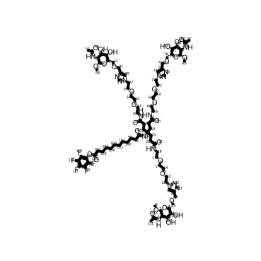 CO[C@@H]1O[C@H](COCc2cn(CCOCCOCCNC(=O)CCC(CCC(=O)NCCOCCOCCn3cc(COC[C@H]4O[C@@H](OC)[C@H](NC(C)=O)[C@@H](O)[C@H]4O)nn3)(CCC(=O)NCCOCCOCCn3cc(COC[C@H]4O[C@@H](OC)[C@H](NC(C)=O)[C@@H](O)[C@H]4O)nn3)NC(=O)CCCCCCCCCCC(=O)Oc3c(F)c(F)c(F)c(F)c3F)nn2)[C@H](O)[C@H](O)[C@H]1NC(C)=O